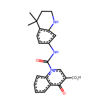 CC1(C)CCNc2cc(NC(=O)n3cc(C(=O)O)c(=O)c4ccccc43)ccc21